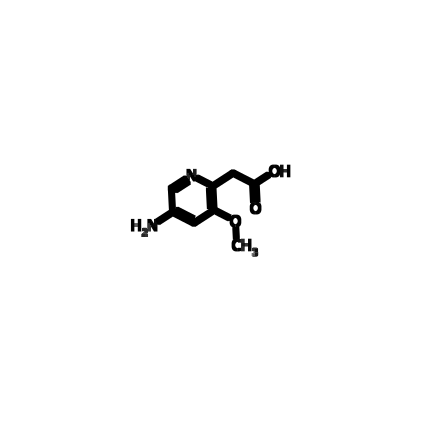 COc1cc(N)cnc1CC(=O)O